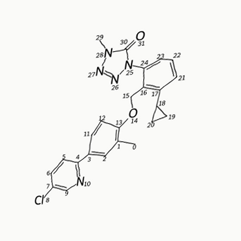 Cc1cc(-c2ccc(Cl)cn2)ccc1OCc1c(C2CC2)cccc1-n1nnn(C)c1=O